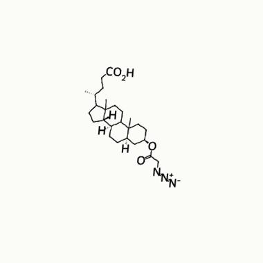 C[C@H](CCC(=O)O)C1CC[C@H]2[C@@H]3CC[C@@H]4C[C@H](OC(=O)CN=[N+]=[N-])CCC4(C)C3CCC12C